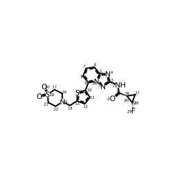 O=C(Nc1nc2cccc(-c3ccc(CN4CCS(=O)(=O)CC4)s3)n2n1)[C@H]1C[C@@H]1F